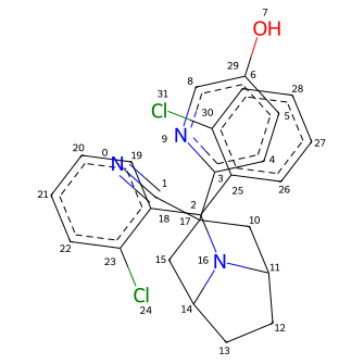 N#CC1(c2ccc(O)cn2)CC2CCC(C1)N2C(c1ccccc1Cl)c1ccccc1Cl